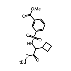 COC(=O)c1cccc(S(=O)(=O)NC(C(=O)OC(C)(C)C)C2CCC2)c1